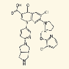 O=C(O)c1cn(-c2ccc(N3CC4CNCC4C3)nc2)c2cc(N3CCC[C@@H]3COc3ncccc3Cl)c(Cl)cc2c1=O